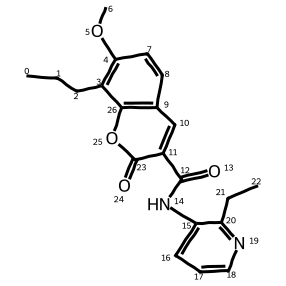 CCCc1c(OC)ccc2cc(C(=O)Nc3cccnc3CC)c(=O)oc12